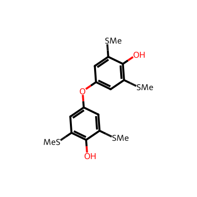 CSc1cc(Oc2cc(SC)c(O)c(SC)c2)cc(SC)c1O